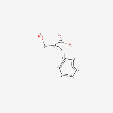 OCC1[C@@H](c2ccccc2)C1(Br)Br